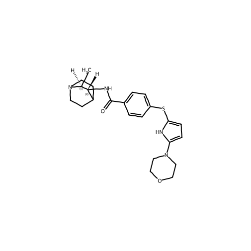 C[C@H]1[C@H](NC(=O)c2ccc(Sc3ccc(N4CCOCC4)[nH]3)cc2)C2CCN1CC2